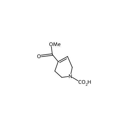 COC(=O)C1=CCN(C(=O)O)CC1